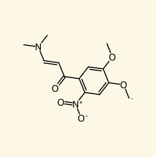 [CH2]Oc1cc([N+](=O)[O-])c(C(=O)C=CN(C)C)cc1OC